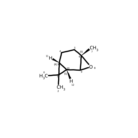 CC1(C)[C@@H]2CC[C@]3(C)OC3[C@@H]21